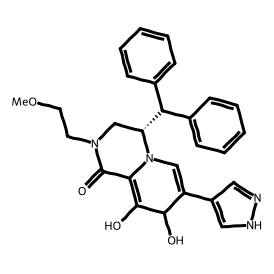 COCCN1C[C@H](C(c2ccccc2)c2ccccc2)N2C=C(c3cn[nH]c3)C(O)C(O)=C2C1=O